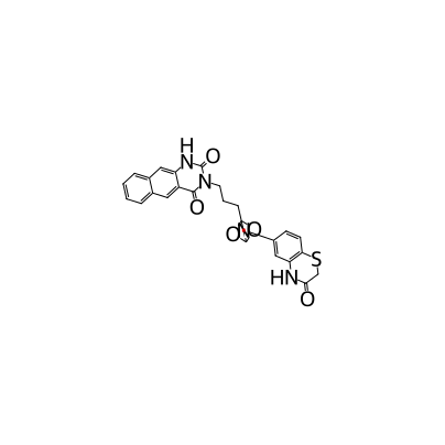 O=C1CSc2ccc(N3CC4(CCCn5c(=O)[nH]c6cc7ccccc7cc6c5=O)OC3O4)cc2N1